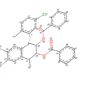 Cc1ccc(Cl)cc1[C@H]1c2cc(Cl)c(Cl)cc2C(C)C(OC(=O)c2ccccc2)C1OC(=O)c1ccccc1